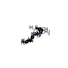 COc1ccc(C(C)C)c(N2CCS/C2=N\C(=O)N/C=C(\C)c2ccc(-c3ncn(-c4ccc(OC(F)(F)F)cc4)n3)cc2)c1